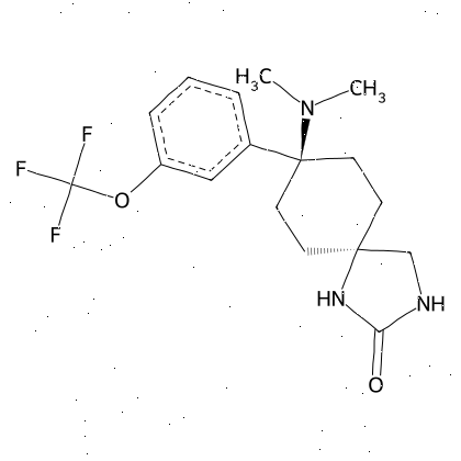 CN(C)[C@]1(c2cccc(OC(F)(F)F)c2)CC[C@]2(CC1)CNC(=O)N2